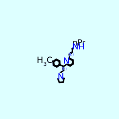 CCCNC/C=C/c1cccc(/C(=C/CN2CCCC2)c2ccc(C)cc2)n1